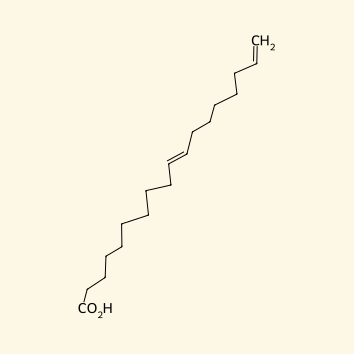 C=CCCCCCC=CCCCCCCCCC(=O)O